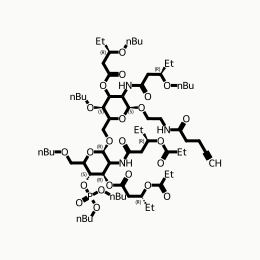 C#CCCC(=O)NCCO[C@H]1OC(CO[C@@H]2OC(COCCCC)[C@@H](OP(=O)(OCCCC)OCCCC)[C@H](OC(=O)C[C@@H](CC)OC(=O)CC)C2NC(=O)C[C@@H](CC)OC(=O)CC)[C@@H](OCCCC)C(OC(=O)C[C@@H](CC)OCCCC)C1NC(=O)C[C@@H](CC)OCCCC